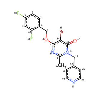 Cc1nc(OCc2ccc(F)cc2F)c(Br)c(=O)n1Cc1ccncc1